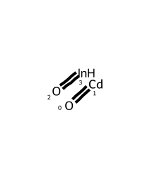 [O]=[Cd].[O]=[InH]